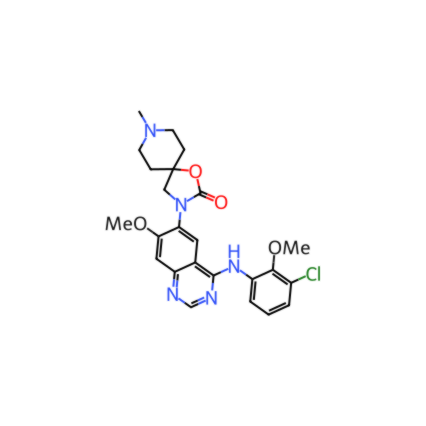 COc1cc2ncnc(Nc3cccc(Cl)c3OC)c2cc1N1CC2(CCN(C)CC2)OC1=O